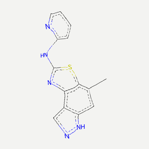 Cc1cc2[nH]ncc2c2nc(Nc3ccccn3)sc12